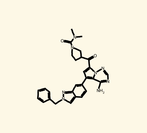 CN(C)C(=O)N1CCC(C(=O)c2cc(-c3ccc4cn(Cc5ccccc5)nc4c3)c3c(N)ncnn23)C1